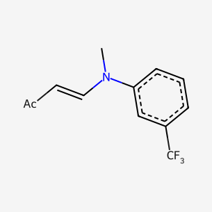 CC(=O)/C=C/N(C)c1cccc(C(F)(F)F)c1